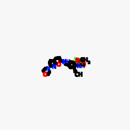 C#Cc1cc(CNC(=O)/C=C\c2ccc(N3CCOCC3)nc2)cc(F)c1NS(C)(=O)=O